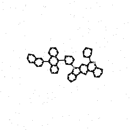 c1ccc(-c2nc3ccccc3c3cc4c5ccccc5n(-c5cccc(-c6c7ccccc7c(-c7ccc8ccccc8c7)c7ccccc67)c5)c4cc23)cc1